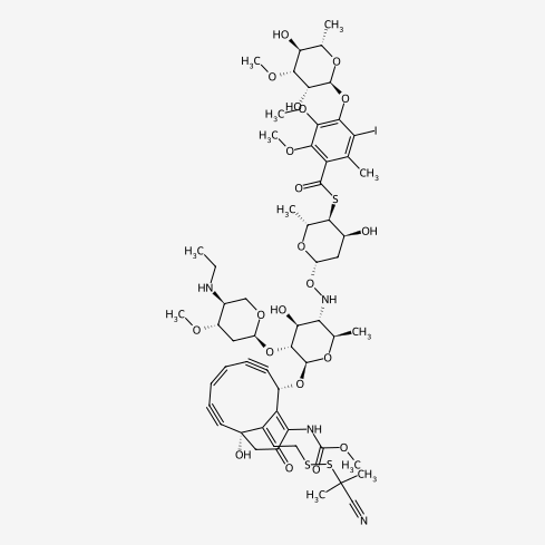 CCN[C@H]1CO[C@@H](O[C@H]2[C@H](O[C@H]3C#C/C=C\C#C[C@]4(O)CC(=O)C(NC(=O)OC)=C3/C4=C\CSSC(C)(C)C#N)O[C@H](C)[C@@H](NO[C@H]3C[C@H](O)[C@H](SC(=O)c4c(C)c(I)c(O[C@@H]5O[C@@H](C)[C@H](O)[C@@H](OC)[C@H]5O)c(OC)c4OC)[C@@H](C)O3)[C@@H]2O)C[C@@H]1OC